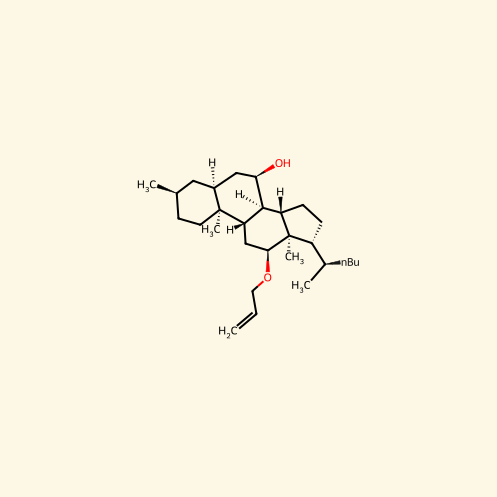 C=CCO[C@H]1C[C@H]2[C@@H]([C@H](O)C[C@@H]3C[C@H](C)CC[C@@]32C)[C@@H]2CC[C@H]([C@H](C)CCCC)[C@@]12C